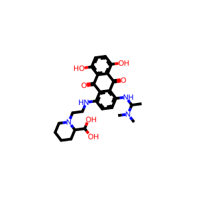 CC(Nc1ccc(NCCN2CCCCC2C(O)O)c2c1C(=O)c1c(O)ccc(O)c1C2=O)N(C)C